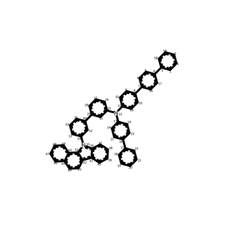 c1ccc(-c2ccc(-c3ccc(N(c4ccc(-c5ccccc5)cc4)c4cccc(-c5cccc(-n6c7ccccc7c7ccc8ccccc8c76)c5)c4)cc3)cc2)cc1